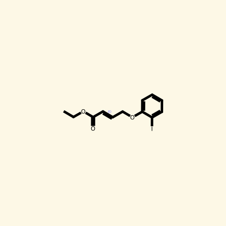 CCOC(=O)/C=C/COc1ccccc1I